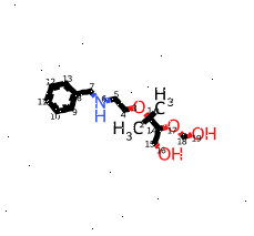 CC(C)(OCCNCc1ccccc1)C(CO)OCO